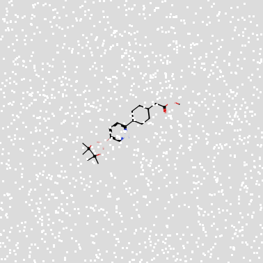 COC(=O)CC1CCC(c2ccc(B3OC(C)(C)C(C)(C)O3)cn2)CC1